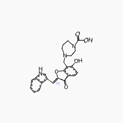 O=C1/C(=C/c2c[nH]c3ccccc23)Oc2c1ccc(O)c2CN1CCCN(C(=O)O)CC1